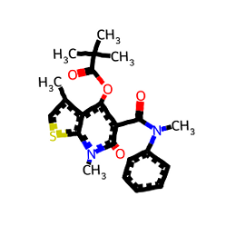 Cc1csc2c1c(OC(=O)C(C)(C)C)c(C(=O)N(C)c1ccccc1)c(=O)n2C